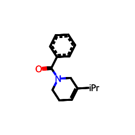 CC(C)C1=CCCN(C(=O)c2ccccc2)C1